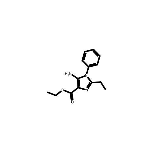 CCOC(=O)c1nc(CC)n(-c2ccccc2)c1N